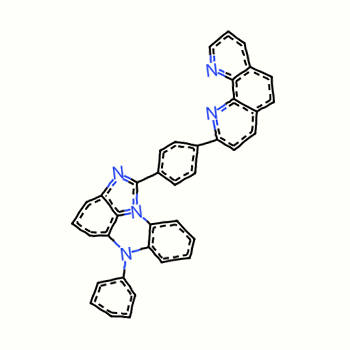 c1ccc(N2c3ccccc3-n3c(-c4ccc(-c5ccc6ccc7cccnc7c6n5)cc4)nc4cccc2c43)cc1